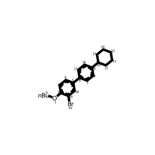 CCCCOc1ccc(-c2ccc(C3CC[CH]CC3)cc2)cc1Br